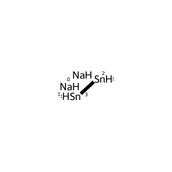 [NaH].[NaH].[SnH][SnH]